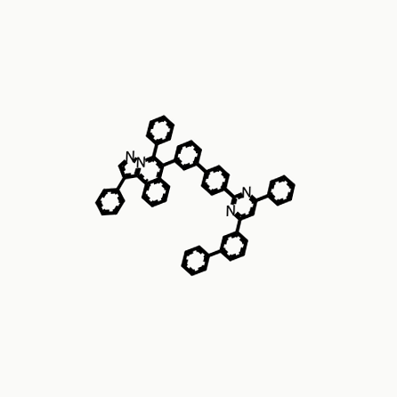 c1ccc(-c2cccc(-c3cc(-c4ccccc4)nc(-c4ccc(-c5cccc(-c6c(-c7ccccc7)n7ncc(-c8ccccc8)c7c7ccccc67)c5)cc4)n3)c2)cc1